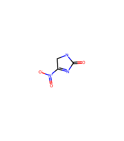 O=C1[N]CC([N+](=O)[O-])=N1